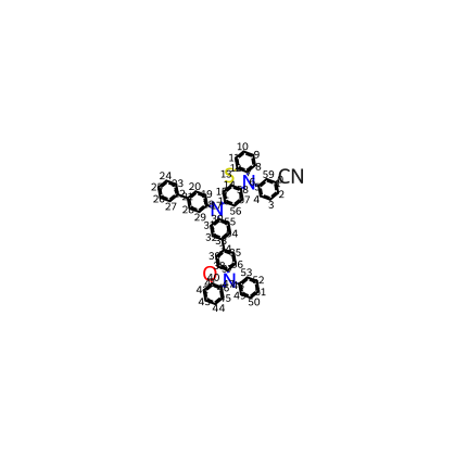 N#Cc1cccc(N2c3ccccc3Sc3cc(N(c4ccc(-c5ccccc5)cc4)c4ccc(-c5ccc6c(c5)Oc5ccccc5N6c5ccccc5)cc4)ccc32)c1